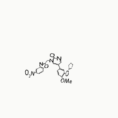 COc1ccc(-c2cnc(=O)n(Cc3nc4cc([N+](=O)[O-])ccc4o3)c2)cc1OC1CCCC1